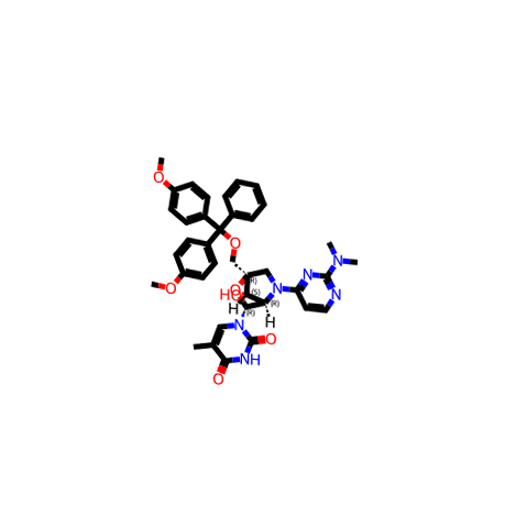 COc1ccc(C(OC[C@@]23CN(c4ccnc(N(C)C)n4)[C@@H]([C@H](n4cc(C)c(=O)[nH]c4=O)O2)[C@@H]3O)(c2ccccc2)c2ccc(OC)cc2)cc1